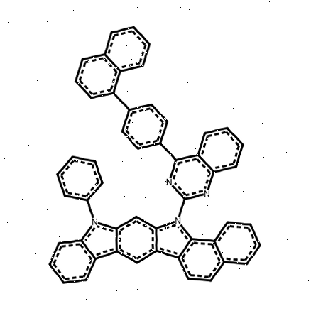 c1ccc(-n2c3ccccc3c3cc4c5ccc6ccccc6c5n(-c5nc(-c6ccc(-c7cccc8ccccc78)cc6)c6ccccc6n5)c4cc32)cc1